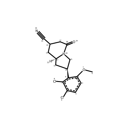 COc1ccc(Cl)c(Cl)c1[C@H]1C[C@H]2CC(C#N)CC(=O)N2C1